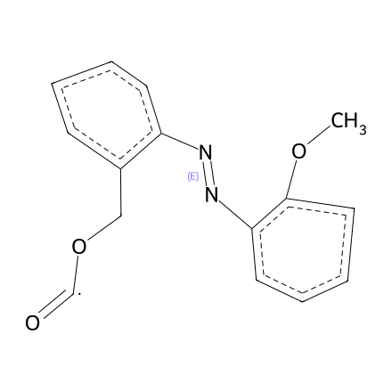 COc1ccccc1/N=N/c1ccccc1CO[C]=O